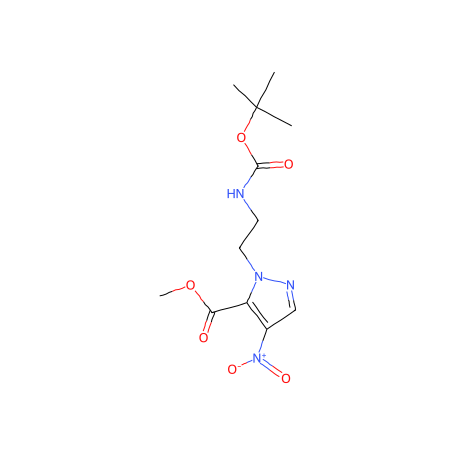 COC(=O)c1c([N+](=O)[O-])cnn1CCNC(=O)OC(C)(C)C